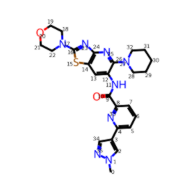 Cn1cc(-c2cccc(C(=O)Nc3cc4sc(N5CCOCC5)nc4nc3N3CCCCC3)n2)cn1